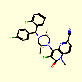 C[C@@H]1CN(c2c(F)c(=O)n(C)c3ccc(C#N)nc23)[C@@H](C)CN1C(c1ccc(F)cc1)c1ccccc1F